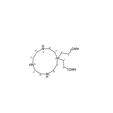 COCC[N+]1(CCOC)CCNCCNCCNCC1